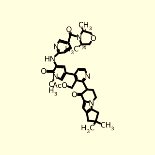 CC(=O)OCc1c(-c2cc(Nc3ccc(C(=O)N4[C@H](C)COC[C@@H]4C)cn3)c(=O)n(C)c2)ccnc1C1CCn2c(cc3c2CC(C)(C)C3)C1=O